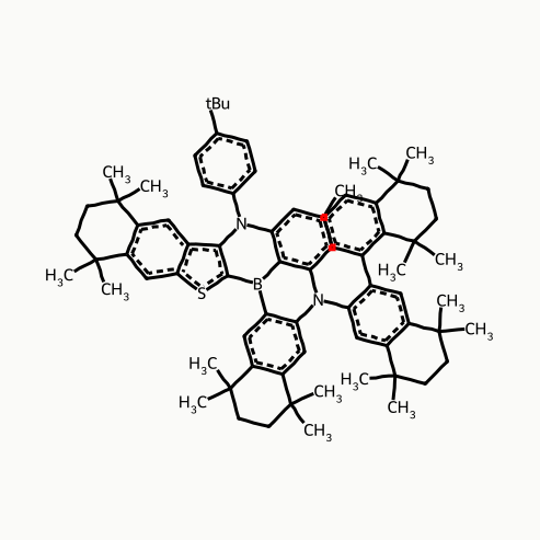 Cc1cc2c3c(c1)N(c1ccc(C(C)(C)C)cc1)c1c(sc4cc5c(cc14)C(C)(C)CCC5(C)C)B3c1cc3c(cc1N2c1cc2c(cc1-c1cccc4c1C(C)(C)CCC4(C)C)C(C)(C)CCC2(C)C)C(C)(C)CCC3(C)C